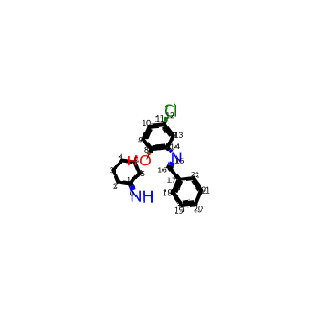 N=C1CCCCC1.Oc1ccc(Cl)cc1/N=C/c1ccccc1